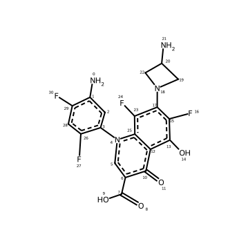 Nc1cc(-n2cc(C(=O)O)c(=O)c3c(O)c(F)c(N4CC(N)C4)c(F)c32)c(F)cc1F